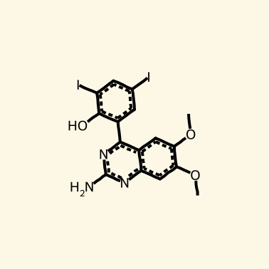 COc1cc2nc(N)nc(-c3cc(I)cc(I)c3O)c2cc1OC